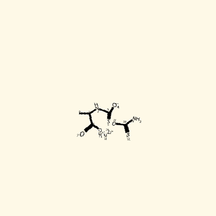 CC(NC([O-])=S)C(=O)O.NC([O-])=S.[Li+].[Li+]